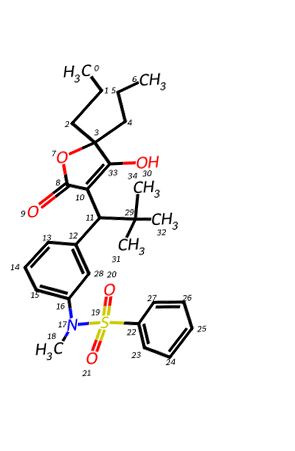 CCCC1(CCC)OC(=O)C(C(c2cccc(N(C)S(=O)(=O)c3ccccc3)c2)C(C)(C)C)=C1O